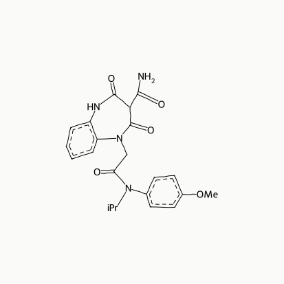 COc1ccc(N(C(=O)CN2C(=O)C(C(N)=O)C(=O)Nc3ccccc32)C(C)C)cc1